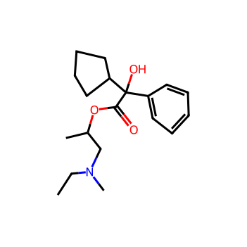 CCN(C)CC(C)OC(=O)C(O)(c1ccccc1)C1CCCC1